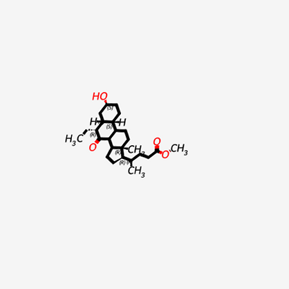 CC[C@H]1C(=O)C2C(CC[C@@]3(C)C2CC[C@@H]3[C@H](C)CCC(=O)OC)[C@H]2CC[C@H](O)C[C@H]21